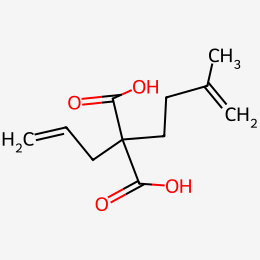 C=CCC(CCC(=C)C)(C(=O)O)C(=O)O